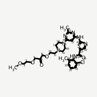 COCCOCC(=O)COCCN1CCN(c2cc(Nc3ncc(C(=O)Nc4c(C)cccc4Cl)s3)nc(C)n2)CC1